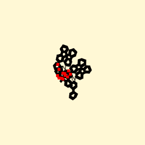 Cc1ccc2c(c1)C1(c3ccccc3-2)c2ccccc2-c2ccc(N(c3ccc4c(c3)C(C)(C)c3ccccc3-4)c3ccccc3-c3cccc(CC(C)(C)c4ccc5c(c4)C4(c6ccccc6-c6ccc(N(c7ccc(-c8ccccc8)cc7)c7ccc8c(c7)C(C)(C)c7ccccc7-8)cc64)c4ccccc4-5)c3)cc21